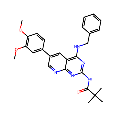 COc1ccc(-c2cnc3nc(NC(=O)C(C)(C)C)nc(NCc4ccccc4)c3c2)cc1OC